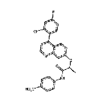 CC(Oc1ccc2c(-c3ccc(F)cc3Cl)ccnc2c1)C(=O)Nc1ccc(C(=O)O)cc1